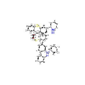 C1=CCNC(c2ccc3c(c2)Sc2ccccc2C32c3ccccc3Sc3c(-c4ccc(-c5ccccc5)c(Nc5ccccc5)c4)cccc32)=C1